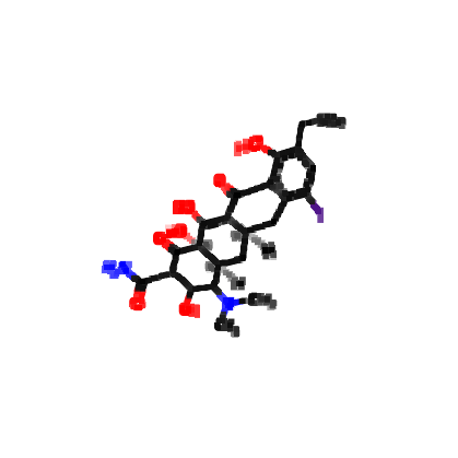 CSCc1cc(I)c2c(c1O)C(=O)C1=C(O)[C@]3(O)C(=O)C(C(N)=O)C(O)C(N(C)C)[C@@H]3C[C@@H]1C2